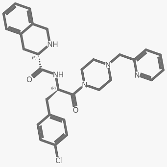 O=C(N[C@H](Cc1ccc(Cl)cc1)C(=O)N1CCN(Cc2ccccn2)CC1)[C@@H]1Cc2ccccc2CN1